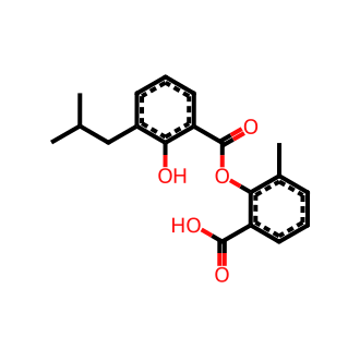 Cc1cccc(C(=O)O)c1OC(=O)c1cccc(CC(C)C)c1O